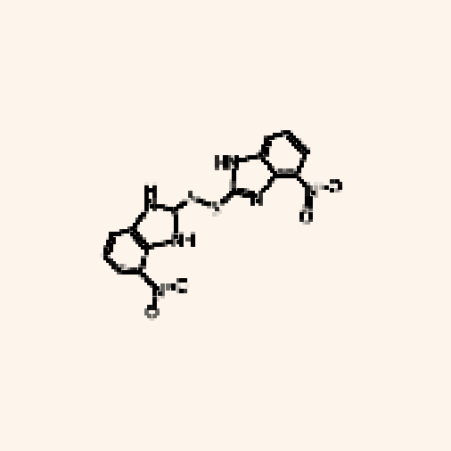 O=[N+]([O-])c1cccc2c1NC(SSc1nc3c([N+](=O)[O-])cccc3[nH]1)N2